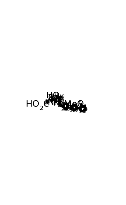 COc1ccccc1-c1ccc(N2CCC(Cc3nc(C)c(O)c(C(=O)NCC(=O)O)n3)CC2)cc1